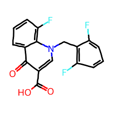 O=C(O)c1cn(Cc2c(F)cccc2F)c2c(F)cccc2c1=O